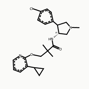 CN1CC(c2ccc(Cl)cc2)[C@@H](NC(=O)C(C)(C)COc2ncccc2C2CC2)C1